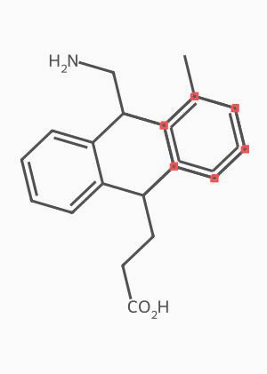 CC1CC=CC2=C1C1(CN)c3ccccc3C2(CCC(=O)O)c2ccccc21